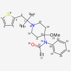 [2H]C([2H])(Cc1cccs1)N1CCC(OC)(N(C(=O)CC)c2ccccc2)CC1